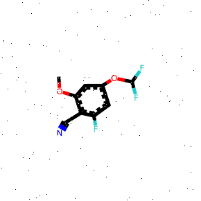 COc1cc(OC(F)F)cc(F)c1C#N